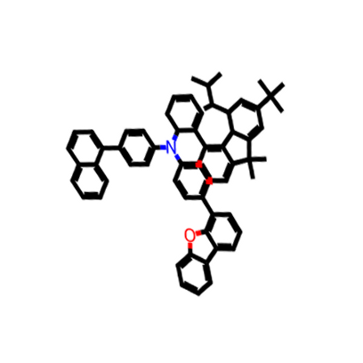 CC(C)C(C)C1C=C(C(C)(C)C)C=C2C1c1c(C3=CC=CCC3N(c3ccc(-c4cccc5ccccc45)cc3)c3ccc(-c4cccc5c4oc4ccccc45)cc3)cccc1C2(C)C